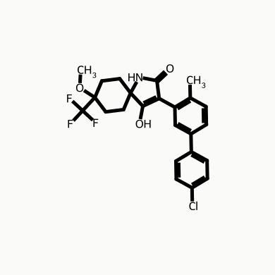 COC1(C(F)(F)F)CCC2(CC1)NC(=O)C(c1cc(-c3ccc(Cl)cc3)ccc1C)=C2O